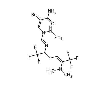 CNN(C=NC(C/C=C(\N(C)C)C(F)(F)F)C(F)(F)F)/C=C(/Br)C(N)=O